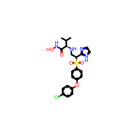 CC(C)[C@@H](NCC(c1ncc[nH]1)S(=O)(=O)c1ccc(Oc2ccc(Cl)cc2)cc1)C(=O)NO